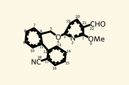 COc1nc(OCc2ccccc2-c2ccccc2C#N)ccc1C=O